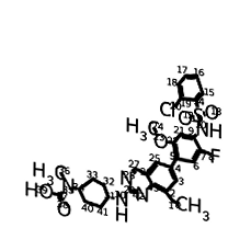 CCc1cc(-c2cc(F)c(NS(=O)(=O)c3ccccc3Cl)cc2OC)cc2cnc(N[C@H]3CC[C@H](N(C)C(=O)O)CC3)nc12